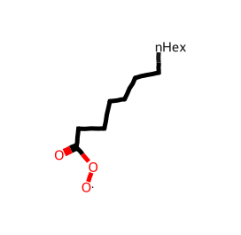 CCCCCCCCCCCCC(=O)O[O]